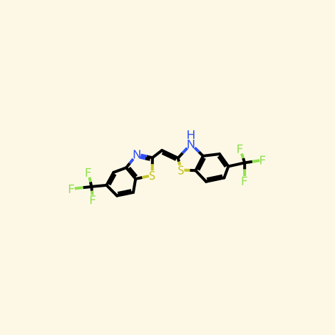 FC(F)(F)c1ccc2c(c1)N/C(=C/c1nc3cc(C(F)(F)F)ccc3s1)S2